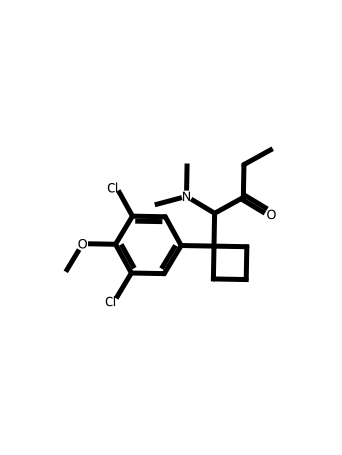 CCC(=O)C(N(C)C)C1(c2cc(Cl)c(OC)c(Cl)c2)CCC1